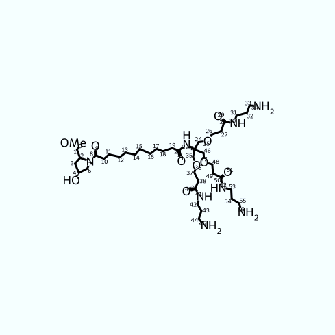 COCC1C[C@@H](O)CN1C(=O)CCCCCCCCCCC(=O)NC(COCCC(=O)NCCCN)(COCCC(=O)NCCCN)COCCC(=O)NCCCN